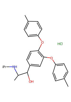 Cc1ccc(Oc2ccc(C(O)C(C)NC(C)C)cc2Oc2ccc(C)cc2)cc1.Cl